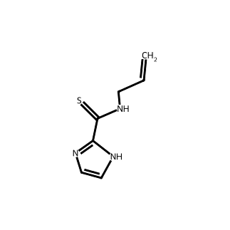 C=CCNC(=S)c1ncc[nH]1